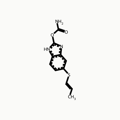 CC=CSc1ccc2[nH]c(OC(N)=O)nc2c1